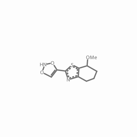 COC1CCCc2nc(C3=CONO3)sc21